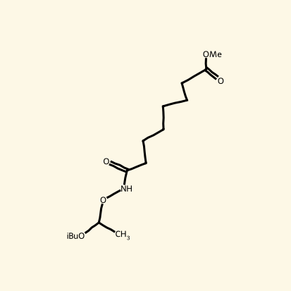 COC(=O)CCCCCCC(=O)NOC(C)OCC(C)C